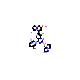 CCc1ccc2cc(O)cc(-c3ncc4c(N5C[C@H]6CC[C@@H](C5)N6)nc(OC[C@@]56CCCN5C[C@H](F)C6)nc4c3F)n12